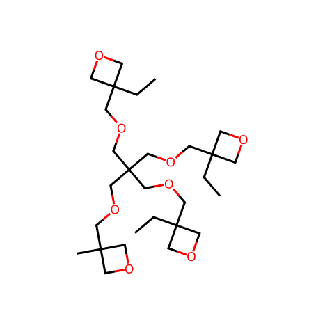 CCC1(COCC(COCC2(C)COC2)(COCC2(CC)COC2)COCC2(CC)COC2)COC1